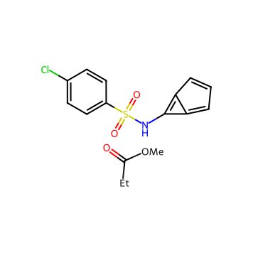 CCC(=O)OC.O=S(=O)(Nc1c2cccc1-2)c1ccc(Cl)cc1